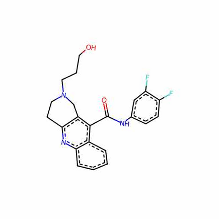 O=C(Nc1ccc(F)c(F)c1)c1c2c(nc3ccccc13)CCN(CCCO)C2